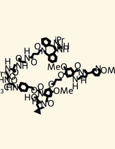 COc1ccc(C2=CN3C(=O)c4cc(OC)c(OCCCOc5cc6c(cc5OC)C(=O)N5CC7(CC7)C[C@H]5C(O)N6C(=O)OCc5ccc(NC(=O)[C@H](C)NC(=O)[C@@H](NC(=O)CNC(=O)CNC(=O)CCC(=O)N6Cc7ccccc7C7=C(c8ccccc86)N(C(C)C)NN7)C(C)C)cc5)cc4NC[C@@H]3C2)cn1